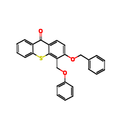 O=c1c2ccccc2sc2c(COc3ccccc3)c(OCc3ccccc3)ccc12